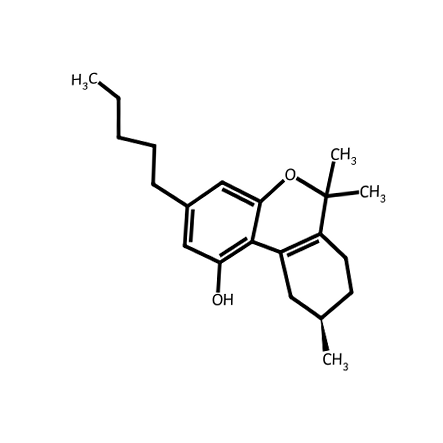 CCCCCc1cc(O)c2c(c1)OC(C)(C)C1=C2C[C@H](C)CC1